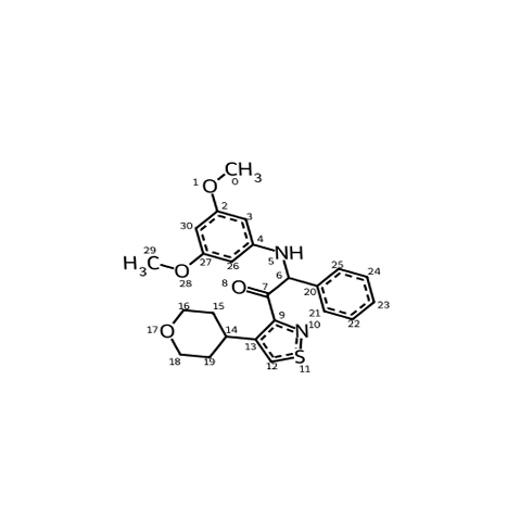 COc1cc(NC(C(=O)c2nscc2C2CCOCC2)c2ccccc2)cc(OC)c1